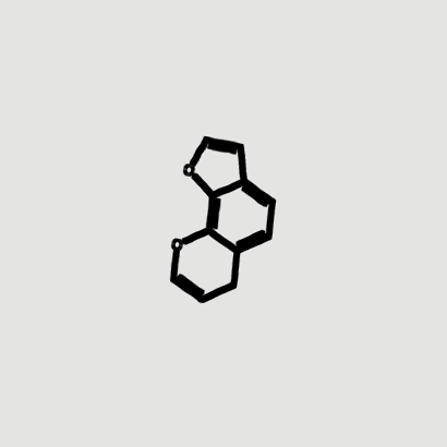 C1=COc2c(ccc3ccoc23)C1